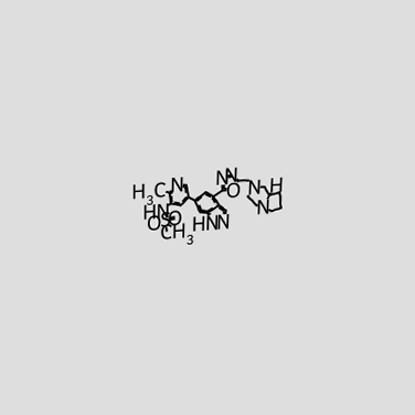 Cc1ncc(-c2cc(-c3nnc(CN4CCN5CCC[C@H]5C4)o3)c3cn[nH]c3c2)cc1NS(C)(=O)=O